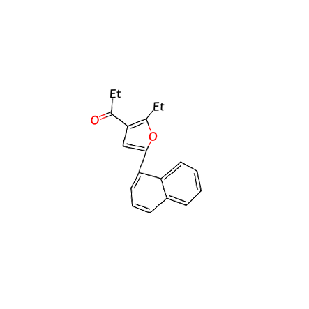 CCC(=O)c1cc(-c2cccc3ccccc23)oc1CC